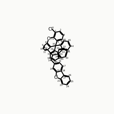 Clc1cccc2c1Oc1cccc(C(Cc3ccc4c(c3)oc3ccccc34)c3ccccc3)c1C21c2ccccc2-c2ccccc21